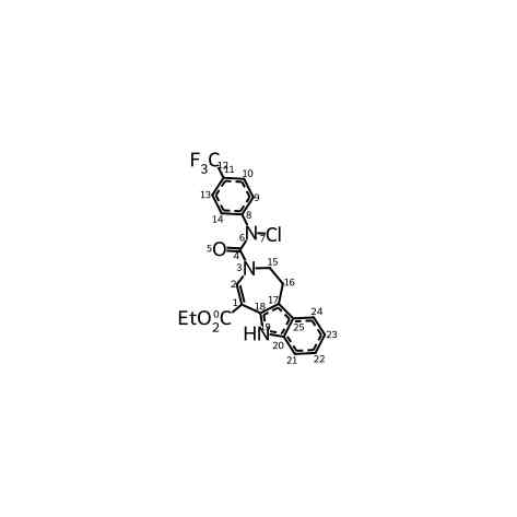 CCOC(=O)C1=CN(C(=O)N(Cl)c2ccc(C(F)(F)F)cc2)CCc2c1[nH]c1ccccc21